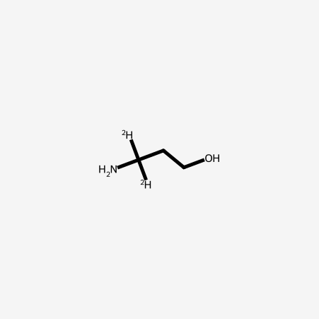 [2H]C([2H])(N)CCO